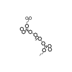 CCCc1ccc(N(c2ccc(-c3ccc4c(c3)sc3cc(-c5ccc(N(c6ccc(CCC(=O)OC)cc6)c6cccc7ccccc67)cc5)ccc34)cc2)c2cccc3ccccc23)cc1